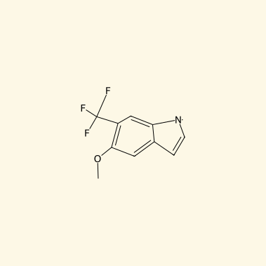 COc1cc2c(cc1C(F)(F)F)[N]C=C2